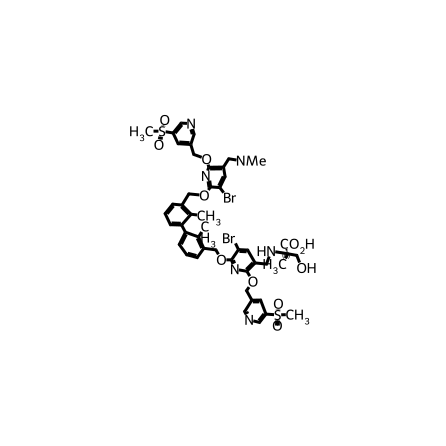 CNCc1cc(Br)c(OCc2cccc(-c3cccc(COc4nc(OCc5cncc(S(C)(=O)=O)c5)c(CN[C@](C)(CO)C(=O)O)cc4Br)c3C)c2C)nc1OCc1cncc(S(C)(=O)=O)c1